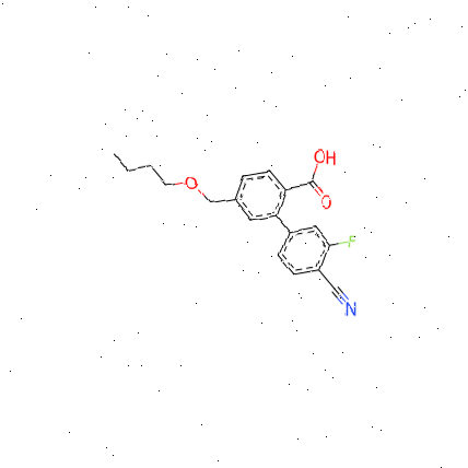 CCCCOCc1ccc(C(=O)O)c(-c2ccc(C#N)c(F)c2)c1